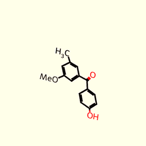 COc1cc(C)cc(C(=O)c2ccc(O)cc2)c1